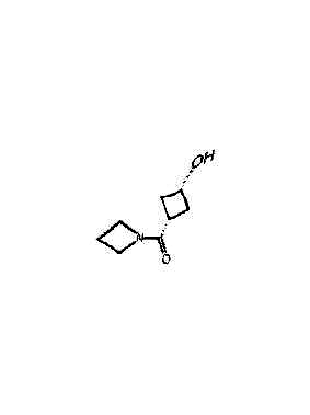 O=C([C@H]1C[C@@H](O)C1)N1CCC1